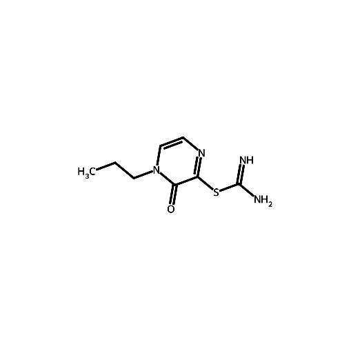 CCCn1ccnc(SC(=N)N)c1=O